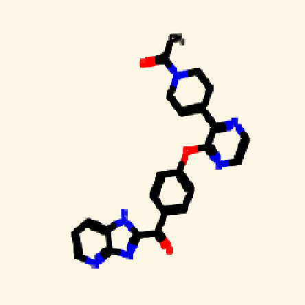 CC(=O)N1CC=C(c2nccnc2Oc2ccc(C(=O)c3nc4ncccc4[nH]3)cc2)CC1